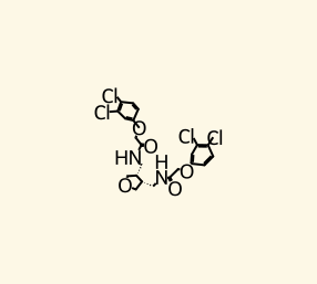 O=C(COc1ccc(Cl)c(Cl)c1)NC[C@@H]1COC[C@@H]1CNC(=O)COc1ccc(Cl)c(Cl)c1